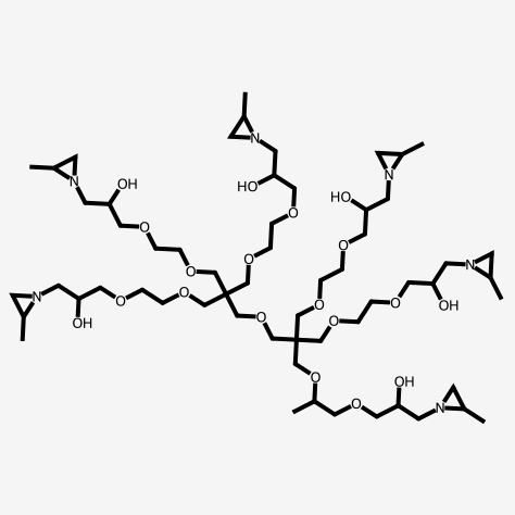 CC(COCC(O)CN1CC1C)OCC(COCCOCC(O)CN1CC1C)(COCCOCC(O)CN1CC1C)COCC(COCCOCC(O)CN1CC1C)(COCCOCC(O)CN1CC1C)COCCOCC(O)CN1CC1C